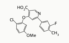 COc1ccc(Cl)c(Oc2cc(-c3ccc(C)c(F)c3)ncc2C(=O)O)c1